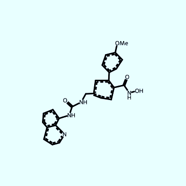 COc1ccc(-c2cc(CNC(=O)Nc3cccc4cccnc34)ccc2C(=O)NO)cc1